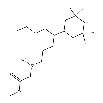 CCCCN(CCC[S+]([O-])CC(=O)OC)C1CC(C)(C)NC(C)(C)C1